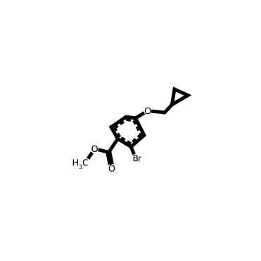 COC(=O)c1ccc(OCC2CC2)cc1Br